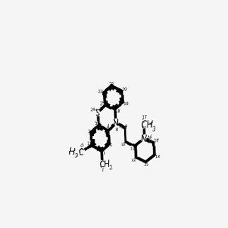 Cc1cc2c(cc1C)N(CCC1CCCCN1C)c1ccccc1S2